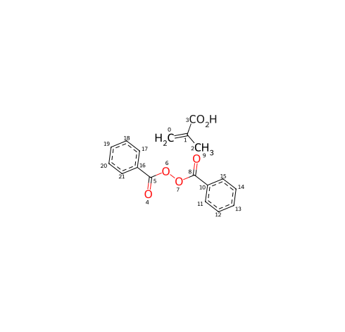 C=C(C)C(=O)O.O=C(OOC(=O)c1ccccc1)c1ccccc1